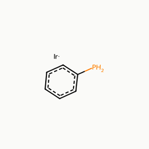 Pc1ccccc1.[Ir]